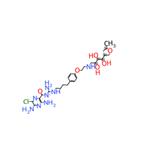 C[C@H]1C[C@@H]([C@@H](O)[C@H](O)[C@@H](O)CNCCOc2ccc(CCCCN/C(N)=N/C(=O)c3nc(Cl)c(N)nc3N)cc2)CO1